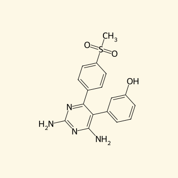 CS(=O)(=O)c1ccc(-c2nc(N)nc(N)c2-c2cccc(O)c2)cc1